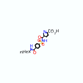 CCCCCCNC(=O)c1ccc(S(=O)(=O)NC(=O)c2ccc(C(=O)O)nc2)cc1